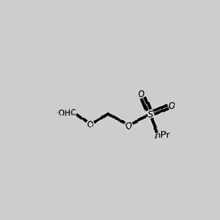 CCCS(=O)(=O)OCO[C]=O